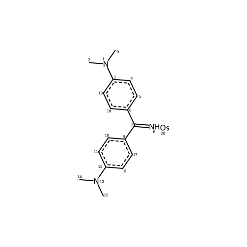 CN(C)c1ccc(C(=N)c2ccc(N(C)C)cc2)cc1.[Os]